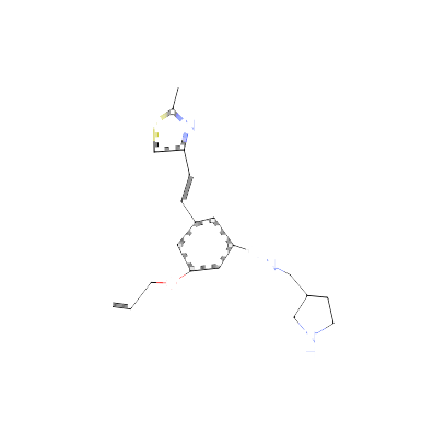 C=CCOc1cc(/C=C/c2csc(C)n2)cc(CNCC2CCNC2)c1